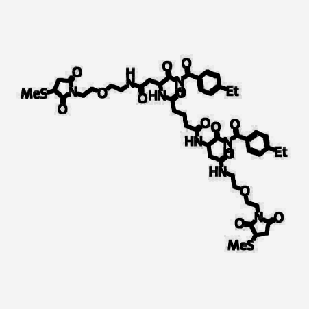 CCc1ccc(C(=O)NC(=O)C(CC(=O)NCCOCCN2C(=O)CC(SC)C2=O)NC(=O)CCCC(=O)NC(CC(=O)NCCOCCN2C(=O)CC(SC)C2=O)C(=O)NC(=O)c2ccc(CC)cc2)cc1